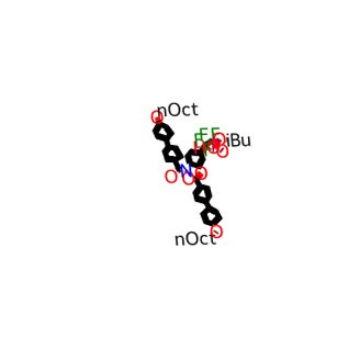 CCCCCCCCOc1ccc(-c2ccc(C(=O)ON(C(=O)c3ccc(-c4ccc(OCCCCCCCC)cc4)cc3)c3ccc(C(F)(F)C(F)(F)P(=O)(O)OC(C)CC)cc3)cc2)cc1